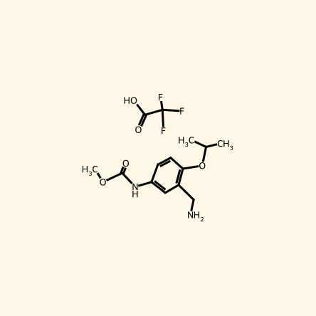 COC(=O)Nc1ccc(OC(C)C)c(CN)c1.O=C(O)C(F)(F)F